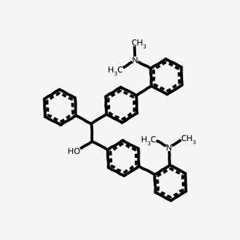 CN(C)c1ccccc1-c1ccc(C(O)C(c2ccccc2)c2ccc(-c3ccccc3N(C)C)cc2)cc1